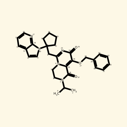 CC(C)N1CCn2c(CC3(n4ccc5cccnc54)CCCC3)nc(=O)c(OCc3ccccc3)c2C1=O